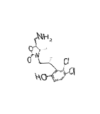 C[C@@H](CN1C(=O)O[C@@H](CN)[C@@H]1C)c1c(O)ccc(Cl)c1Cl